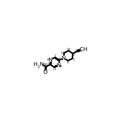 C#CC1CCN(c2cnc(C(N)=O)cn2)CC1